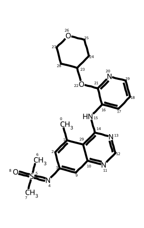 Cc1cc(N=S(C)(C)=O)cc2ncnc(Nc3cccnc3OC3CCOCC3)c12